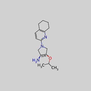 CC(C)O[C@@H]1CN(c2ccc3c(n2)CCCC3)C[C@@H]1N